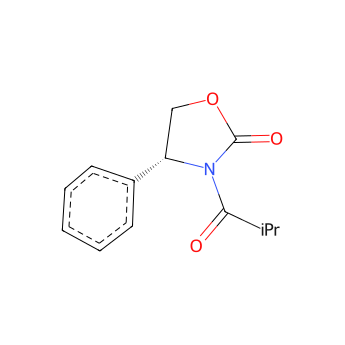 CC(C)C(=O)N1C(=O)OC[C@H]1c1ccccc1